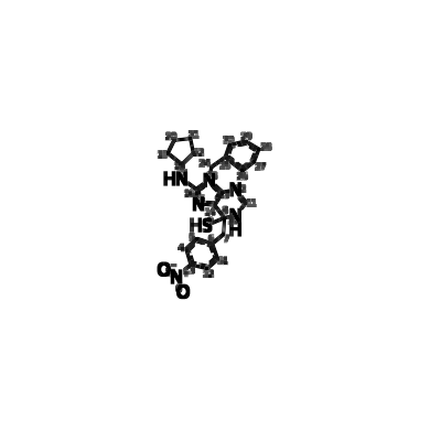 O=[N+]([O-])c1ccc(CC2(S)NC=Nc3c2nc(NC2CCCC2)n3Cc2ccccc2)cc1